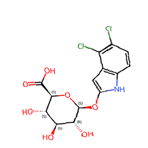 O=C(O)[C@H]1O[C@@H](Oc2cc3c(Cl)c(Cl)ccc3[nH]2)[C@H](O)[C@@H](O)[C@@H]1O